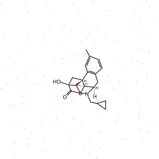 Cc1ccc2c(c1)[C@]13CCN(CC4CC4)[C@H](C2)[C@]12CCC(O)(C3)C(=O)O2